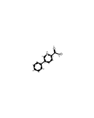 O=NC(=O)c1ccc(-c2ccccc2)cn1